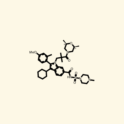 COc1ccc(-c2c(C3CCCCC3)c3ccc(C(=O)NS(=O)(=O)N4CCN(C)CC4)cc3n2CC(C)(C)C(=O)N2C[C@@H](C)O[C@@H](C)C2)c(C)c1